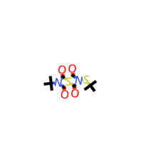 CC(C)(C)SN1C(=O)S2(C1=O)C(=O)N(C(C)(C)C)C2=O